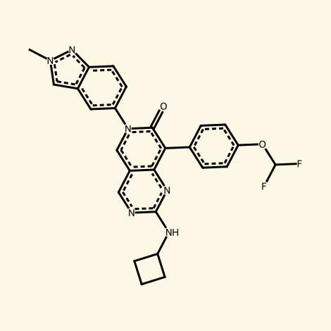 Cn1cc2cc(-n3cc4cnc(NC5CCC5)nc4c(-c4ccc(OC(F)F)cc4)c3=O)ccc2n1